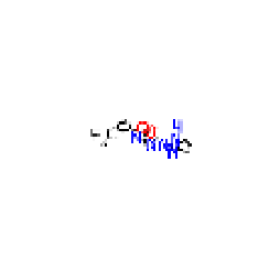 O=C1OC(c2cccc(C(F)(F)F)c2)=NC1=CN1CCN(c2nc3ccccc3[nH]2)CC1